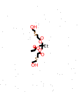 C=CC(=O)OCC(CC)(COC(=O)CCSCCO)COC(=O)CCSCCO